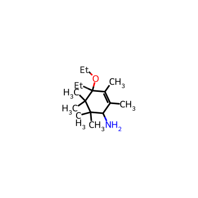 CCOC1(CC)C(C)=C(C)C(N)C(C)(C)C1(C)C